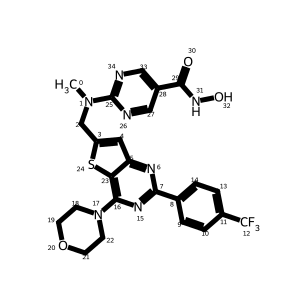 CN(Cc1cc2nc(-c3ccc(C(F)(F)F)cc3)nc(N3CCOCC3)c2s1)c1ncc(C(=O)NO)cn1